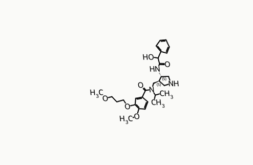 COCCCOc1cc(C(=O)N(C[C@@H]2CNC[C@H]2NC(=O)C(O)c2ccccc2)C(C)C)ccc1OC